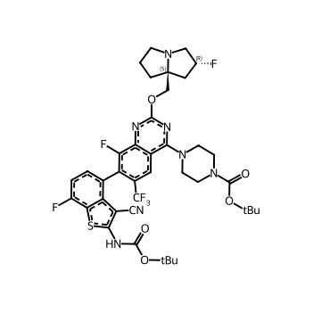 CC(C)(C)OC(=O)Nc1sc2c(F)ccc(-c3c(C(F)(F)F)cc4c(N5CCN(C(=O)OC(C)(C)C)CC5)nc(OC[C@@]56CCCN5C[C@H](F)C6)nc4c3F)c2c1C#N